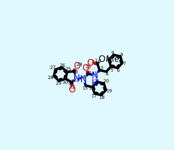 COC(=O)C(Cc1ccccc1)NC(=O)N(Cc1ccccc1)N1C(=O)c2ccccc2C1=O